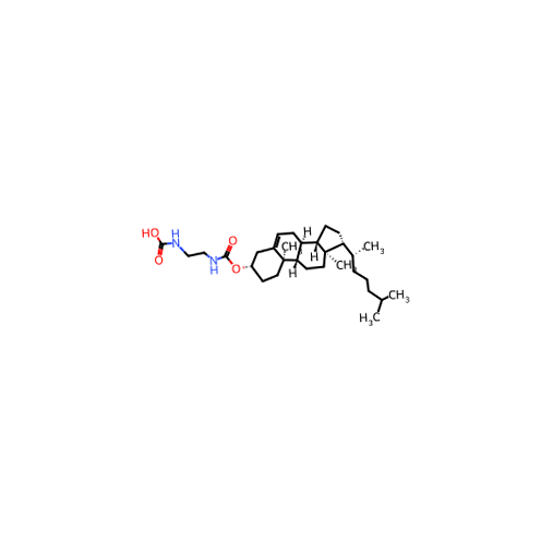 CC(C)CCC[C@@H](C)[C@H]1CC[C@H]2[C@@H]3CC=C4C[C@@H](OC(=O)NCCNC(=O)O)CC[C@]4(C)[C@H]3CC[C@]12C